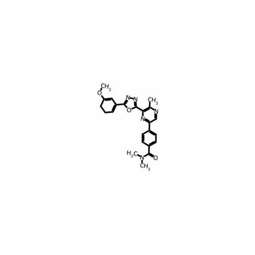 COC1=CC(c2nnc(-c3nc(-c4ccc(C(=O)N(C)C)cc4)cnc3C)o2)=CCC1